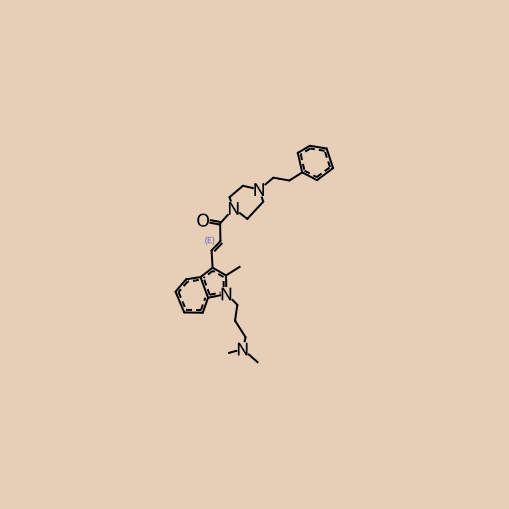 Cc1c(/C=C/C(=O)N2CCN(CCc3ccccc3)CC2)c2ccccc2n1CCCN(C)C